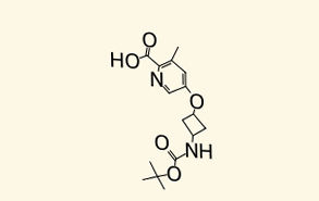 Cc1cc(OC2CC(NC(=O)OC(C)(C)C)C2)cnc1C(=O)O